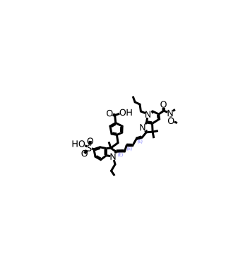 CCCC[n+]1cc(C(=O)N(C)OC)cc2c1N=C(/C=C/C=C/C=C1/N(CCC)c3ccc(S(=O)(=O)O)cc3C1(C)Cc1ccc(C(=O)O)cc1)C2(C)C